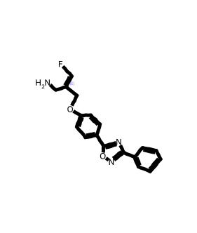 NC/C(=C\F)COc1ccc(-c2nc(-c3ccccc3)no2)cc1